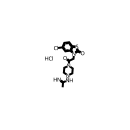 CC(=N)NN1CCN(C(=O)Cn2c(=O)sc3ccc(Cl)cc32)CC1.Cl